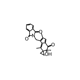 CC1=C(CN2C(=O)c3ccccc3C2=O)C2=C(C)C3(CC3)[C@@](C)(O)C(=O)C2=C1